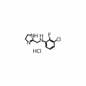 Cl.Fc1c(Cl)cccc1NCC1=NCCN1